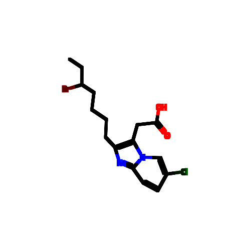 CCC(Br)CCCCc1nc2ccc(Cl)cn2c1CC(=O)O